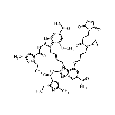 CCn1nc(C)cc1C(=O)Nc1nc2cc(C(N)=O)cc(OC)c2n1C/C=C/Cn1c(NC(=O)c2cc(C)nn2CC)nc2cc(C(N)=O)cc(OCCCN(C(=O)CCN3C(=O)C=CC3=O)C3CC3)c21